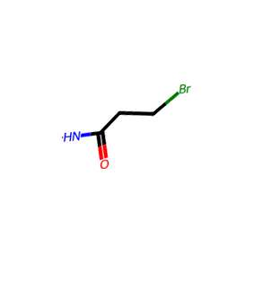 [NH]C(=O)CCBr